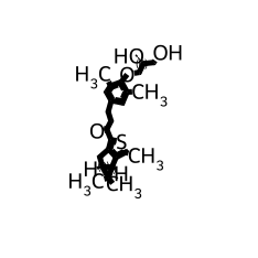 Cc1cc(CCC(=O)c2sc(C)c3c2C[C@@H]2[C@H]3C2(C)C)cc(C)c1OC[C@H](O)CO